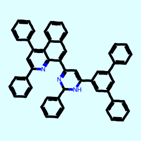 C1=C(c2cc(-c3ccccc3)cc(-c3ccccc3)c2)NC(c2ccccc2)N=C1c1cc2ccccc2c2c(-c3ccccc3)cc(-c3ccccc3)nc12